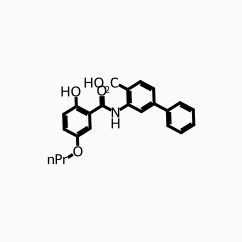 CCCOc1ccc(O)c(C(=O)Nc2cc(-c3ccccc3)ccc2C(=O)O)c1